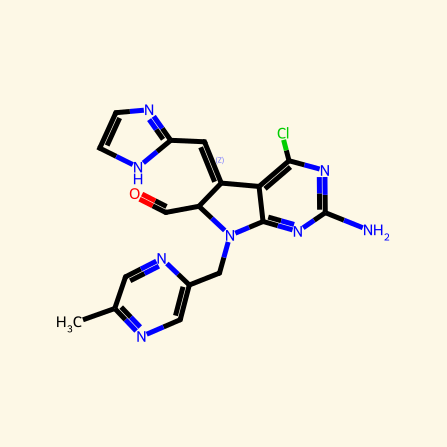 Cc1cnc(CN2c3nc(N)nc(Cl)c3/C(=C/c3ncc[nH]3)C2C=O)cn1